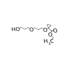 CCOC(=O)C1(OCCCOCCCO)CC1